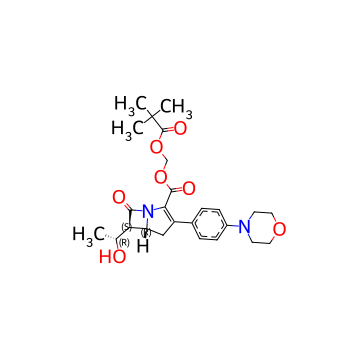 C[C@@H](O)[C@H]1C(=O)N2C(C(=O)OCOC(=O)C(C)(C)C)=C(c3ccc(N4CCOCC4)cc3)C[C@H]12